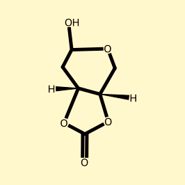 O=C1O[C@H]2COC(O)C[C@H]2O1